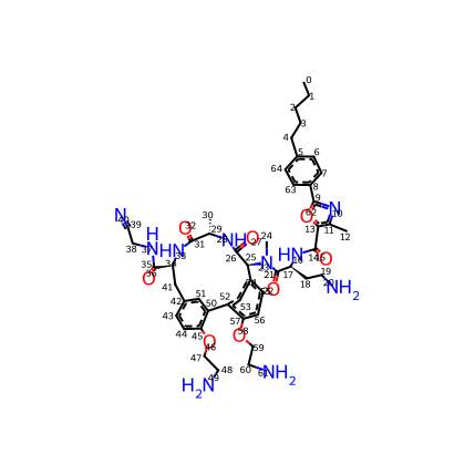 CCCCCc1ccc(-c2nc(C)c(C(=O)N[C@@H](CCN)C(=O)N(C)[C@@H]3C(=O)N[C@@H](C)C(=O)N[C@H](C(=O)NCC#N)Cc4ccc(OCCN)c(c4)-c4cc3ccc4OCCN)o2)cc1